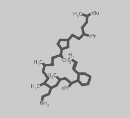 CC=CC1CCCCC1C(CCC)CC(C)CC(CCN)C(C)CCC(C)CCC(C)C1CCC(CCC(CCC)CCC(C)CCCC)C1